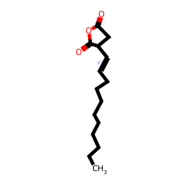 CCCCCCCCC/C=C/C1CC(=O)OC1=O